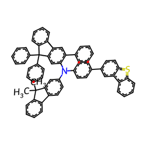 CC1(C)c2ccccc2-c2ccc(N(c3ccc(-c4ccc5sc6ccccc6c5c4)cc3)c3cc4c(cc3-c3ccccc3)-c3ccccc3C4(c3ccccc3)c3ccccc3)cc21